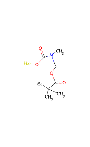 CCC(C)(C)C(=O)OCN(C)C(=O)OS